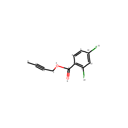 CC#CCOC(=O)c1ccc(F)cc1F